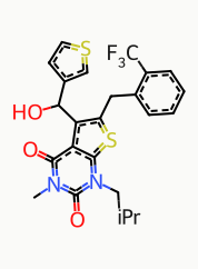 CC(C)Cn1c(=O)n(C)c(=O)c2c(C(O)c3ccsc3)c(Cc3ccccc3C(F)(F)F)sc21